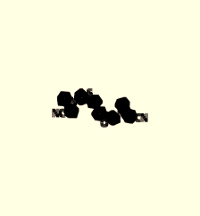 N#Cc1ccc2c(c1)c1ccccc1n2-c1ccc2oc3ccc(-c4ccc5sc6ccc(-n7c8ccccc8c8c(C#N)cccc87)cc6c5c4)cc3c2c1